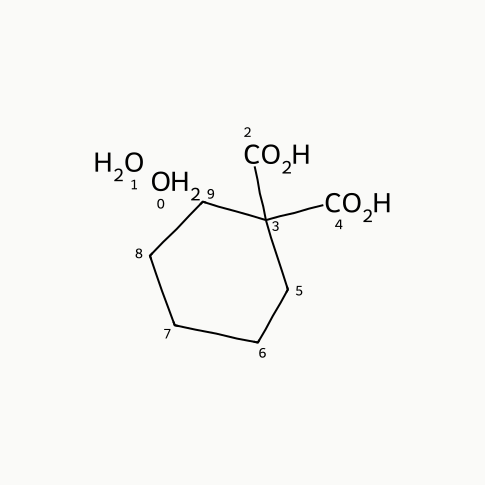 O.O.O=C(O)C1(C(=O)O)CCCCC1